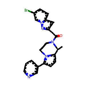 CC1c2ccc(-c3cccnc3)n2CCN1C(=O)c1cc2ccc(Br)cn2n1